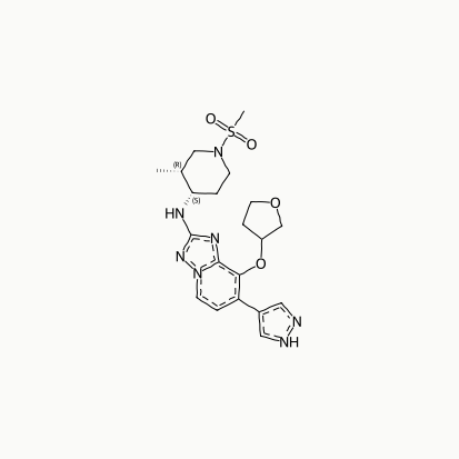 C[C@@H]1CN(S(C)(=O)=O)CC[C@@H]1Nc1nc2c(OC3CCOC3)c(-c3cn[nH]c3)ccn2n1